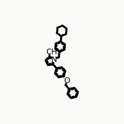 Cc1ccc(-c2ccc(OCc3ccccc3)cc2)n1Cc1ccc(C2CCCCC2)cc1